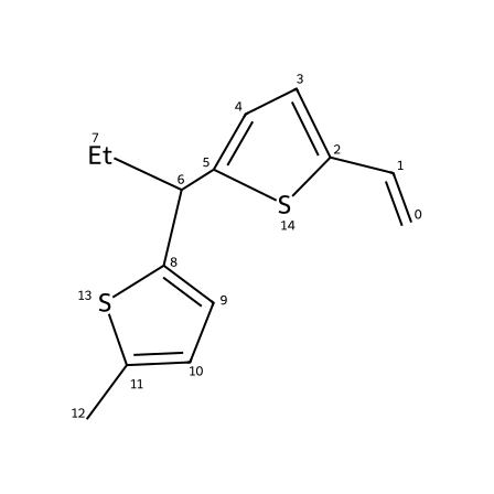 C=Cc1ccc(C(CC)c2ccc(C)s2)s1